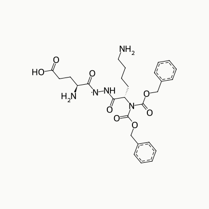 NCCCC[C@@H](C(=O)N[N]C(=O)[C@@H](N)CCC(=O)O)N(C(=O)OCc1ccccc1)C(=O)OCc1ccccc1